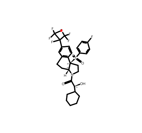 O=C([C@@H](O)C1CCCCC1)N1CC[C@@]2(S(=O)(=O)c3ccc(F)cc3)c3ccc(C(F)(C(F)(F)F)C(F)(F)F)cc3CC[C@@H]12